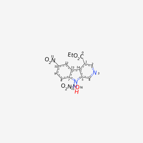 CCOC(=O)c1cncc2[nH]c3ccc([N+](=O)[O-])cc3c12.O=[N+]([O-])O